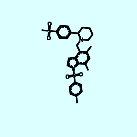 Cc1ccc(S(=O)(=O)n2ccc3c(CN4CCCCC4c4ccc(S(C)(=O)=O)cc4)c(C)cc(C)c32)cc1